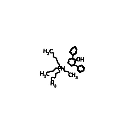 CCCCCC[PH](CCCC)(CCCC)CCCC.Oc1c(-c2ccccc2)cccc1-c1ccccc1